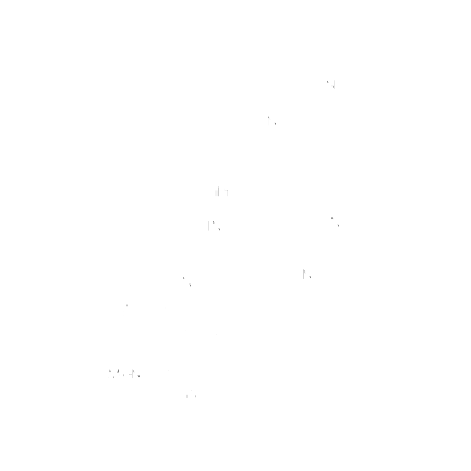 CNC(=O)c1sc(-c2cnc(Nc3ccc4nccnc4c3)cc2NC(C)C)nc1C